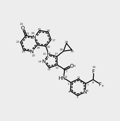 O=C(Nc1ccnc(C(F)F)c1)c1cnn(-c2cccn3c(=O)ccnc23)c1C1CC1